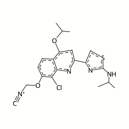 [C-]#[N+]COc1ccc2c(OC(C)C)cc(-c3csc(NC(C)C)n3)nc2c1Cl